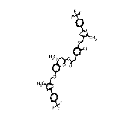 Cc1nc(-c2ccc(C(F)(F)F)cc2)oc1CSc1ccc(CC(=O)OC(=O)CN(C)c2ccc(OCc3sc(-c4ccc(C(F)(F)F)cc4)nc3C)cc2)cc1Cl